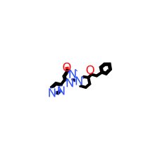 Cn1c(N2CCCC(C(=O)Cc3ccccc3)C2)nc(-c2ccncn2)cc1=O